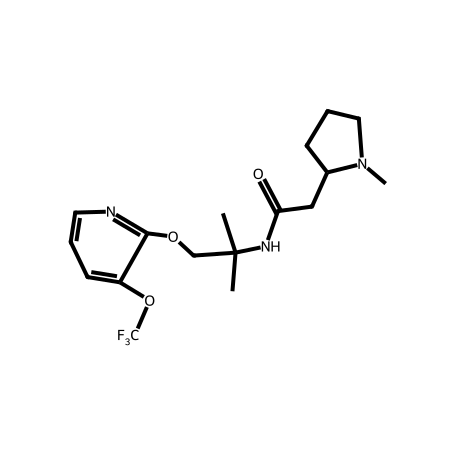 CN1CCCC1CC(=O)NC(C)(C)COc1ncccc1OC(F)(F)F